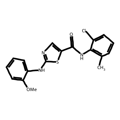 COc1ccccc1Nc1ncc(C(=O)Nc2c(C)cccc2Cl)s1